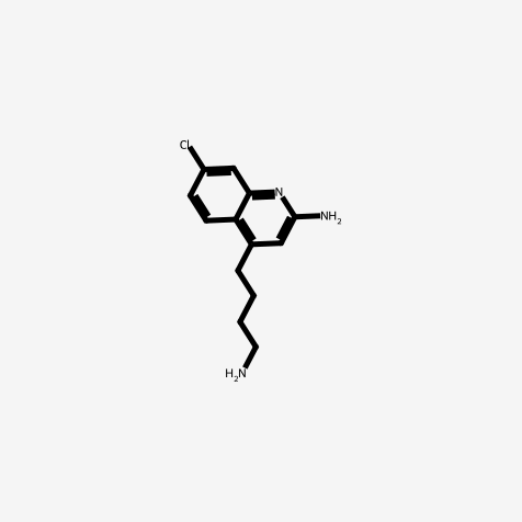 NCCCCc1cc(N)nc2cc(Cl)ccc12